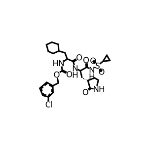 O=C(NC(CC1CCCCC1)C(=O)NC(C[C@@H]1CCNC1=O)C(=O)NS(=O)(=O)C1CC1)OCc1cccc(Cl)c1